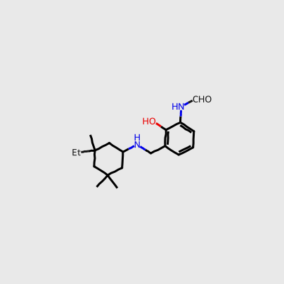 CCC1(C)CC(NCc2cccc(NC=O)c2O)CC(C)(C)C1